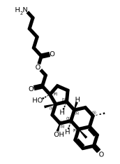 C[C@H]1C[C@@H]2[C@H]([C@@H](O)C[C@@]3(C)[C@H]2CC[C@]3(O)C(=O)COC(=O)CCCCN)[C@@]2(C)C=CC(=O)C=C12